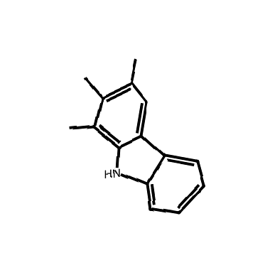 Cc1cc2c([nH]c3ccccc32)c(C)c1C